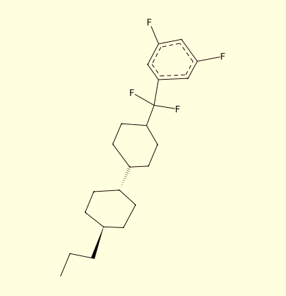 CCC[C@H]1CC[C@H](C2CCC(C(F)(F)c3cc(F)cc(F)c3)CC2)CC1